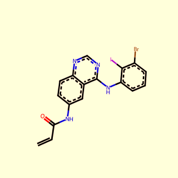 C=CC(=O)Nc1ccc2ncnc(Nc3cccc(Br)c3I)c2c1